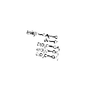 CC(C)[O-].CC(C)[O-].CCOC(C)=O.CCOC(C)=O.CCOC(C)=O.CCOC(C)=O.[Al+2]